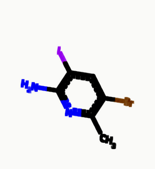 Cc1nc(N)c(I)cc1Br